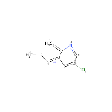 C=c1ncc(Cl)c/c1=C/CC